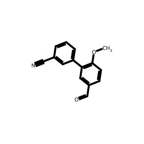 COc1ccc(C=O)cc1-c1cccc(C#N)c1